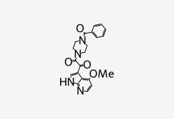 COc1ccnc2[nH]cc(C(=O)C(=O)N3CCN(C(=O)c4ccccc4)CC3)c12